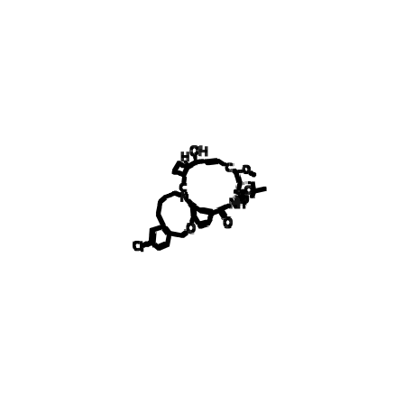 CO[C@@H]1C/C=C/[C@H](O)[C@H]2CCC2CN2CCCCc3cc(Cl)ccc3COc3ccc(cc32)C(=O)NS(=O)(=O)[C@H]1CC(C)C